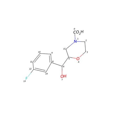 O=C(O)N1CCOC(C(O)c2cccc(F)c2)C1